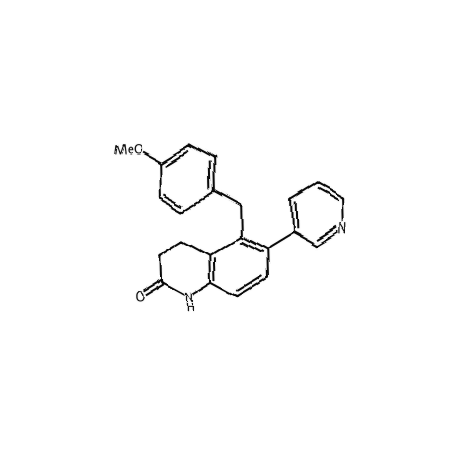 COc1ccc(Cc2c(-c3cccnc3)ccc3c2CCC(=O)N3)cc1